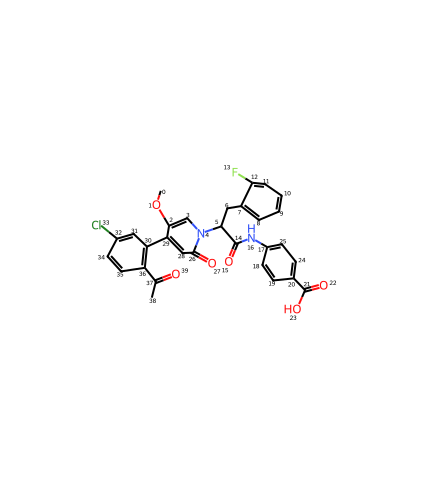 COc1cn(C(Cc2ccccc2F)C(=O)Nc2ccc(C(=O)O)cc2)c(=O)cc1-c1cc(Cl)ccc1C(C)=O